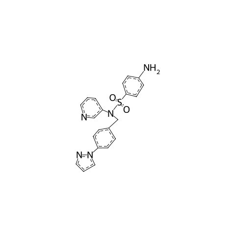 Nc1ccc(S(=O)(=O)N(Cc2ccc(-n3cccn3)cc2)c2cccnc2)cc1